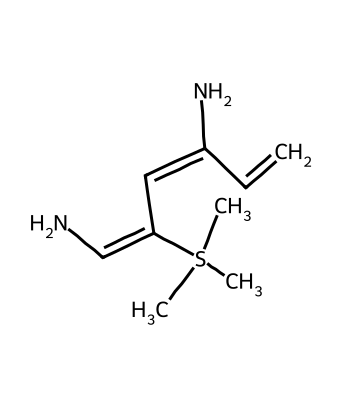 C=C/C(N)=C\C(=C/N)S(C)(C)C